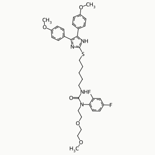 COCCOCCN(C(=O)NCCCCCSc1nc(-c2ccc(OC)cc2)c(-c2ccc(OC)cc2)[nH]1)c1ccc(F)cc1F